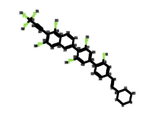 Fc1cc(/C=C/C2CCCCC2)ccc1-c1cc(F)c(-c2ccc3c(F)c(C#CC(F)(F)F)c(F)cc3c2)c(F)c1